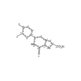 CCOC(=O)c1cn2cc(-c3ccc(C)c(C)c3)[nH]c(=O)c2n1